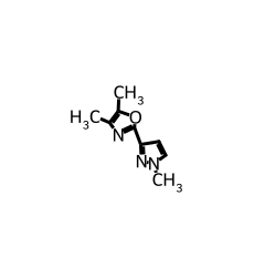 Cc1nc(-c2ccn(C)n2)oc1C